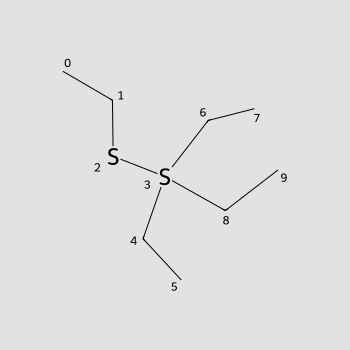 CCSS(CC)(CC)CC